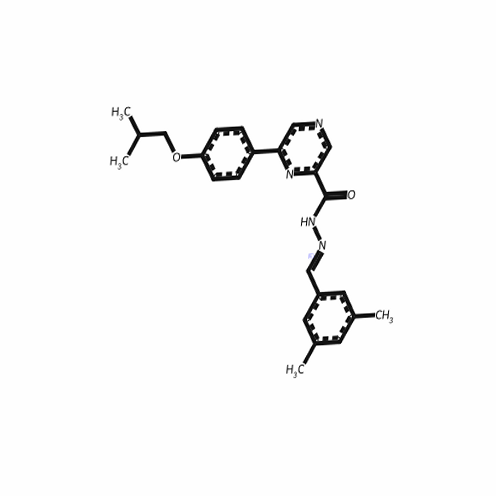 Cc1cc(C)cc(/C=N/NC(=O)c2cncc(-c3ccc(OCC(C)C)cc3)n2)c1